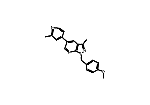 COc1ccc(Cn2nc(I)c3cc(-c4ccnc(C)c4)cnc32)cc1